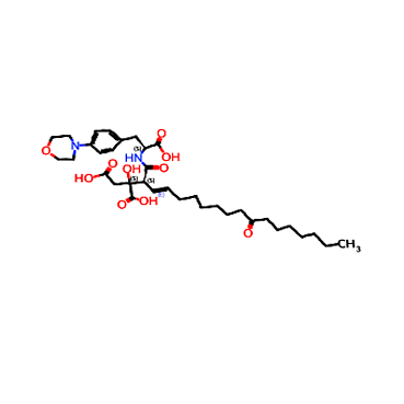 CCCCCCCC(=O)CCCCCC/C=C/[C@H](C(=O)N[C@@H](Cc1ccc(N2CCOCC2)cc1)C(=O)O)[C@@](O)(CC(=O)O)C(=O)O